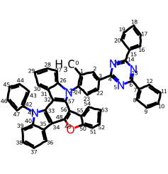 Cc1cc(-c2nc(-c3ccccc3)nc(-c3ccccc3)n2)ccc1-n1c2ccccc2c2c3c(c4ccccc4n3-c3ccccc3)c3oc4ccccc4c3c21